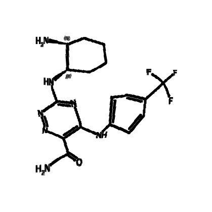 NC(=O)c1nnc(N[C@@H]2CCCC[C@@H]2N)nc1Nc1ccc(C(F)(F)F)cc1